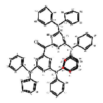 O=C(c1nc(N(c2ccccc2)c2ccccc2)nc(N(c2ccccc2)c2ccccc2)n1)c1nc(N(c2ccccc2)c2ccccc2)nc(N(c2ccccc2)c2ccccc2)n1